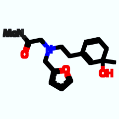 CNC(=O)CN(CCC1=CC(C)(O)CC=C1)Cc1ccco1